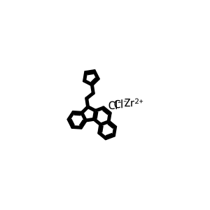 C1=CCC(CCC2c3ccccc3-c3c2ccc2ccccc32)=C1.[Cl-].[Cl-].[Zr+2]